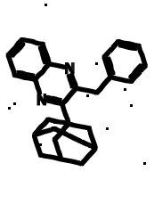 c1ccc(Cc2nc3ccccc3nc2C23CC4CC(CC(C4)C2)C3)cc1